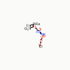 CCOCCOCCOC(=O)NCCNC(=O)CCCOc1cc([N+](=O)[O-])c(CC)cc1OC